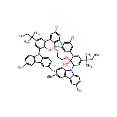 CC(C)(C)CC(C)(C)C1=CC(n2c3ccc(C(C)(C)C)cc3c3cc(C(C)(C)C)ccc32)C(O)(OCCCOc2c(Br)cc(Cl)cc2-c2cc(C(C)(C)CC(C)(C)C)cc(-n3c4ccc(C(C)(C)C)cc4c4cc(C(C)(C)C)ccc43)c2O)C(c2cc(Cl)cc(Br)c2)=C1